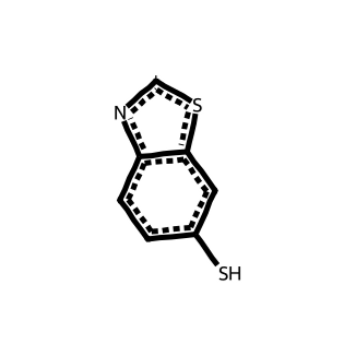 Sc1ccc2n[c]sc2c1